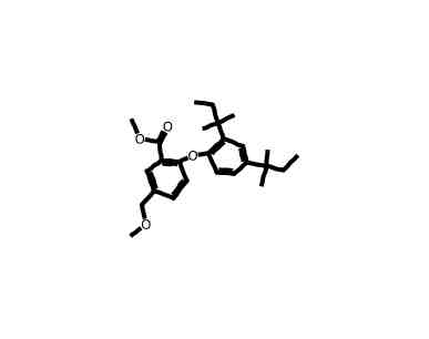 CCC(C)(C)c1ccc(Oc2ccc(COC)cc2C(=O)OC)c(C(C)(C)CC)c1